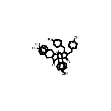 O=C1C(Cc2ccc(O)cc2)=C(Cc2ccc(O)cc2)C(=O)C1(c1ccc(O)cc1)C1(c2ccc(O)cc2)C(=O)C(Cc2ccc(O)cc2)=C(Cc2ccc(O)cc2)C1=O